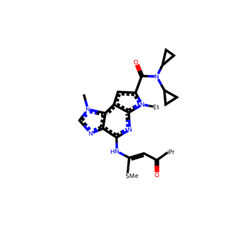 CCn1c(C(=O)N(C2CC2)C2CC2)cc2c3c(ncn3C)c(NC(=CC(=O)C(C)C)SC)nc21